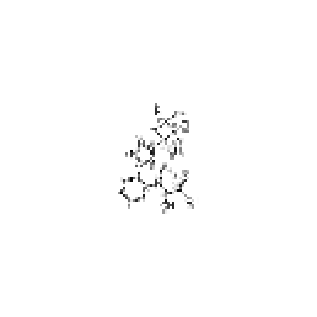 CN(c1ccccc1-c1nnc(C2(C)CC(F)(F)C2(F)Cl)s1)C(O)C(=O)O